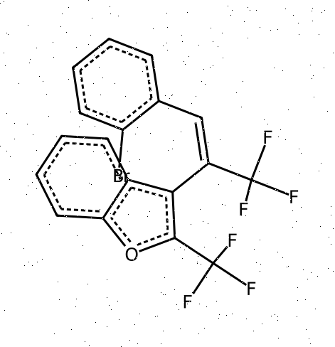 FC(F)(F)/C(=C/c1ccccc1Br)c1c(C(F)(F)F)oc2ccccc12